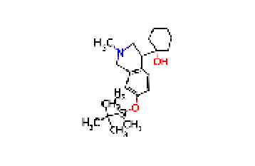 CN1Cc2cc(O[Si](C)(C)C(C)(C)C)ccc2C(C2(O)CCCCC2)C1